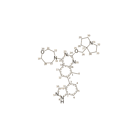 Cc1c(-c2cccc3[nH]ncc23)ccc2c(N3CCCOCC3)nc(OCC34CCCN3CCC4)nc12